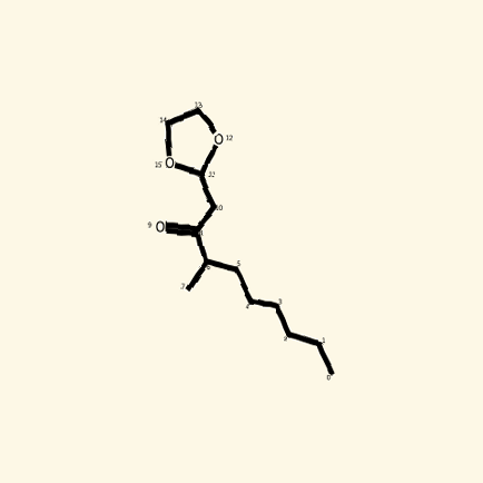 CCCCCCC(C)C(=O)CC1OCCO1